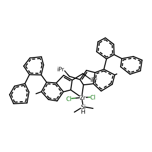 Cc1ccc2c(c1-c1ccccc1-c1ccccc1)C=C(CC(C)C)[CH]2[Zr]([Cl])([Cl])([CH]1C(CC(C)C)=Cc2c1ccc(C)c2-c1ccccc1-c1ccccc1)[SiH](C)C